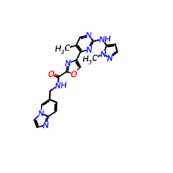 Cc1cnc(Nc2ccnn2C)nc1-c1coc(C(=O)NCc2ccc3nccn3c2)n1